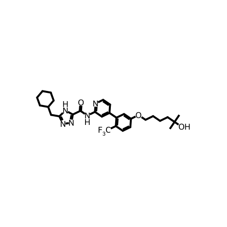 CC(C)(O)CCCCOc1ccc(C(F)(F)F)c(-c2ccnc(NC(=O)c3nnc(CC4CCCCC4)[nH]3)c2)c1